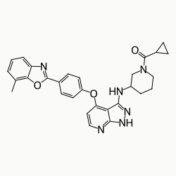 Cc1cccc2nc(-c3ccc(Oc4ccnc5[nH]nc(NC6CCCN(C(=O)C7CC7)C6)c45)cc3)oc12